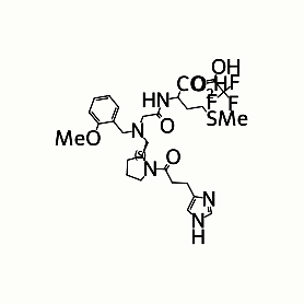 COc1ccccc1CN(CC(=O)NC(CCSC)C(=O)O)C[C@@H]1CCCN1C(=O)CCc1c[nH]cn1.O=C(O)C(F)(F)F